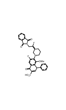 COc1c2c(cc(F)c1N1CCC/C(=C(\F)CN3C(=O)c4ccccc4C3=O)C1)C(=O)C(C(=O)O)=CC2c1ccccc1